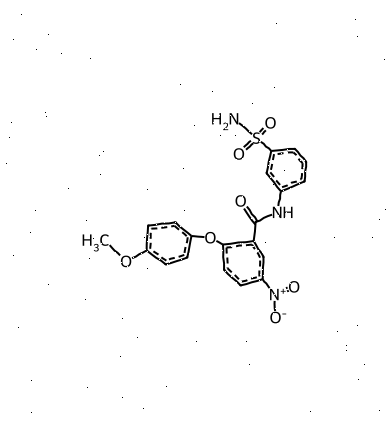 COc1ccc(Oc2ccc([N+](=O)[O-])cc2C(=O)Nc2cccc(S(N)(=O)=O)c2)cc1